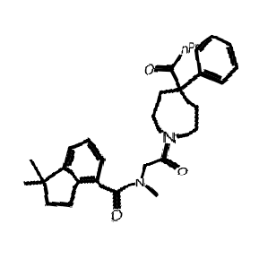 CCCC(=O)C1(c2ccccc2)CCN(C(=O)CN(C)C(=O)c2cccc3c2CCC3(C)C)CC1